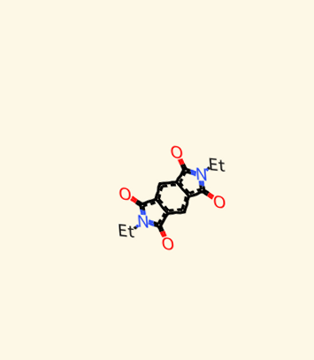 CCn1c(=O)c2cc3c(=O)n(CC)c(=O)c3cc2c1=O